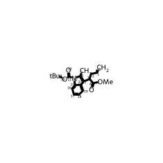 C=CCC(C(=O)OC)c1c(C)n(C(=O)OC(C)(C)C)c2ccccc12